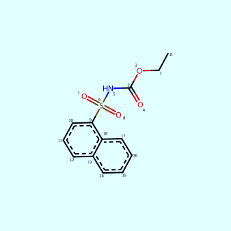 CCOC(=O)NS(=O)(=O)c1cccc2ccccc12